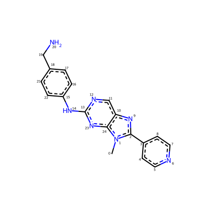 Cn1c(-c2ccncc2)nc2cnc(Nc3ccc(CN)cc3)nc21